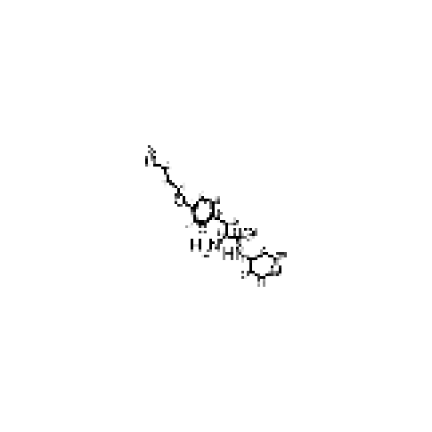 COCCCOc1ccc(C[C@H](N)C(=O)NC2CCOCC2)cc1